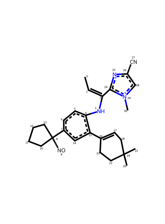 CC=C(Nc1ccc(C2(N=O)CCCC2)cc1C1=CCC(C)(C)CC1)c1nc(C#N)cn1C